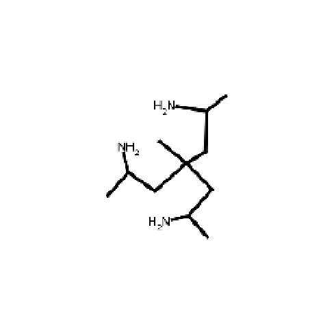 CC(N)CC(C)(CC(C)N)CC(C)N